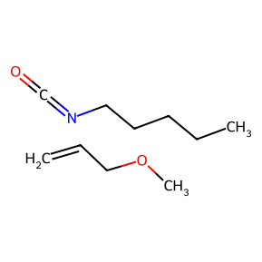 C=CCOC.CCCCCN=C=O